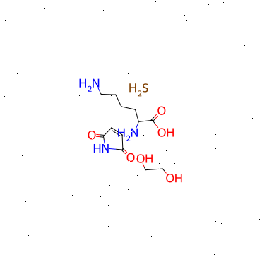 NCCCCC(N)C(=O)O.O=C1C=CC(=O)N1.OCCO.S